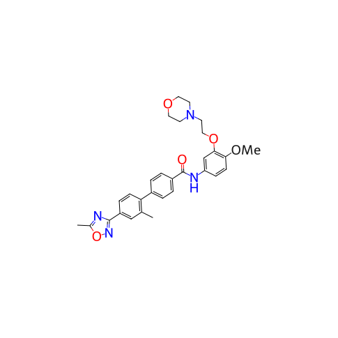 COc1ccc(NC(=O)c2ccc(-c3ccc(-c4noc(C)n4)cc3C)cc2)cc1OCCN1CCOCC1